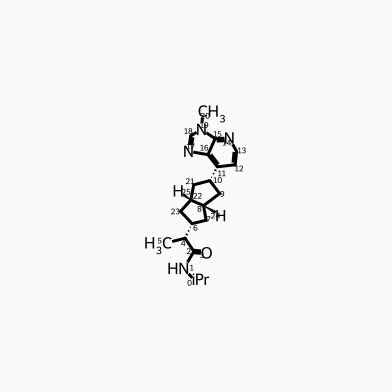 CC(C)NC(=O)C(C)[C@H]1C[C@H]2C[C@@H](c3ccnc4c3ncn4C)C[C@H]2C1